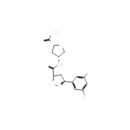 COC(=O)[C@@H]1C[C@H](NC(=O)[C@@]2(C)CC(c3cc(F)cc(F)c3)=NO2)CO1